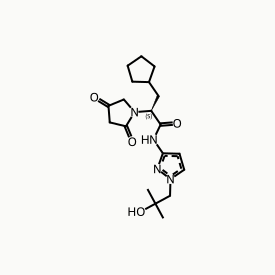 CC(C)(O)Cn1ccc(NC(=O)[C@H](CC2CCCC2)N2CC(=O)CC2=O)n1